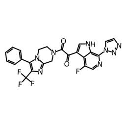 O=C(C(=O)N1CCn2c(nc(C(F)(F)F)c2-c2ccccc2)C1)c1c[nH]c2c(-n3ccnn3)ncc(F)c12